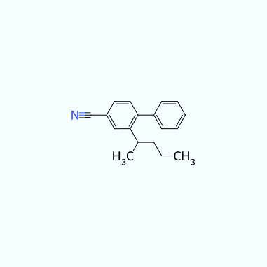 CCCC(C)c1cc(C#N)ccc1-c1ccccc1